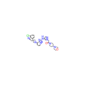 N#CCC1(c2cccc(Cl)c2)CN(c2cccn3nc(Nc4cnn(CC(=O)N5CCC(N6CCOCC6)CC5)c4)nc23)C1